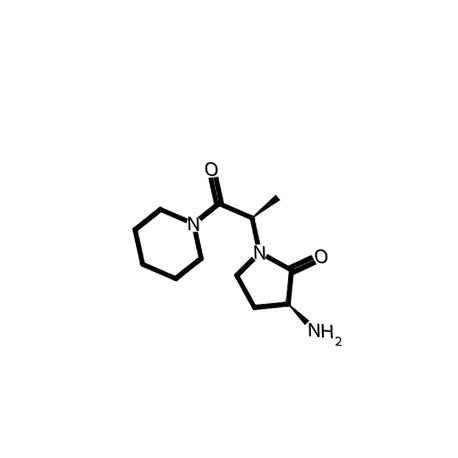 C[C@H](C(=O)N1CCCCC1)N1CC[C@H](N)C1=O